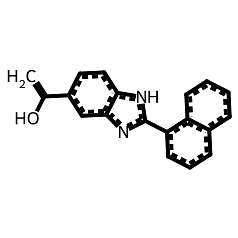 C=C(O)c1ccc2[nH]c(-c3cccc4ccccc34)nc2c1